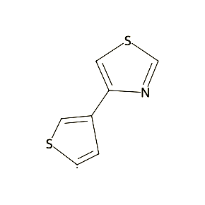 [c]1cc(-c2cscn2)cs1